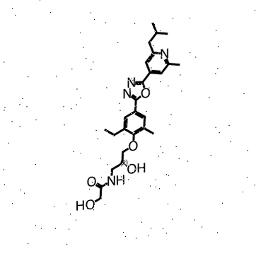 CCc1cc(-c2nnc(-c3cc(C)nc(CC(C)C)c3)o2)cc(C)c1OC[C@H](O)CNC(=O)CO